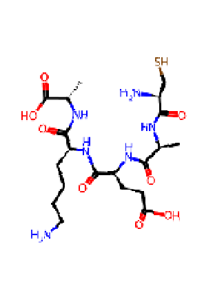 C[C@H](NC(=O)[C@H](CCCCN)NC(=O)[C@H](CCC(=O)O)NC(=O)[C@H](C)NC(=O)[C@@H](N)CS)C(=O)O